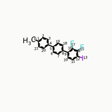 Cc1ccc(-c2ccc(-c3ccc(I)c(F)c3F)cc2)cc1